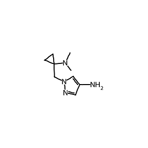 CN(C)C1(Cn2cc(N)cn2)CC1